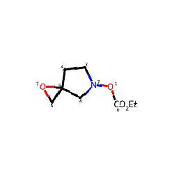 CCOC(=O)ON1CCC2(CO2)C1